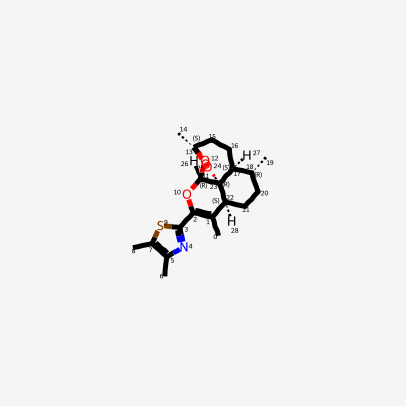 CC1=C(c2nc(C)c(C)s2)O[C@@H]2O[C@]3(C)CC[C@H]4[C@H](C)CC[C@@H]1[C@@]24OO3